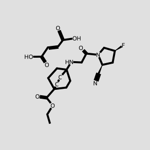 CCOC(=O)C12CCC(NCC(=O)N3C[C@@H](F)C[C@H]3C#N)(CC1)CC2.O=C(O)/C=C/C(=O)O